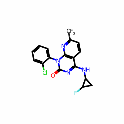 O=c1nc(NC2CC2F)c2ccc(C(F)(F)F)nc2n1-c1ccccc1Cl